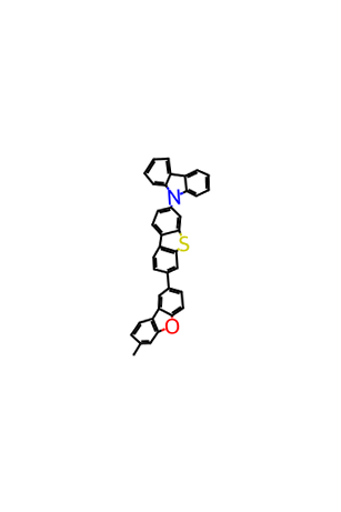 Cc1ccc2c(c1)oc1ccc(-c3ccc4c(c3)sc3cc(-n5c6ccccc6c6ccccc65)ccc34)cc12